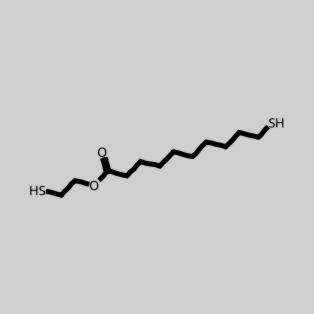 O=C(CCCCCCCCCS)OCCS